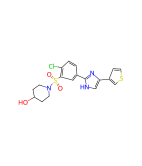 O=S(=O)(c1cc(-c2nc(-c3ccsc3)c[nH]2)ccc1Cl)N1CCC(O)CC1